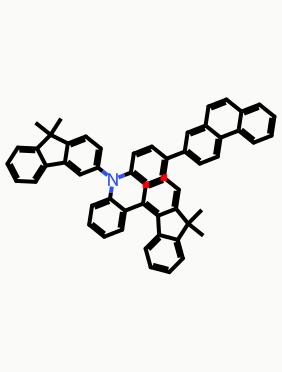 CC1(C)c2ccccc2-c2cc(N(c3ccc(-c4ccc5c(ccc6ccccc65)c4)cc3)c3ccccc3-c3cccc4c3-c3ccccc3C4(C)C)ccc21